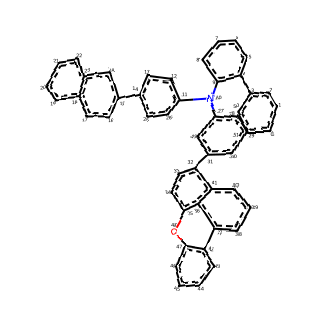 c1ccc(-c2ccccc2N(c2ccc(-c3ccc4ccccc4c3)cc2)c2cccc(-c3ccc4c5c(cccc35)-c3ccccc3O4)c2)cc1